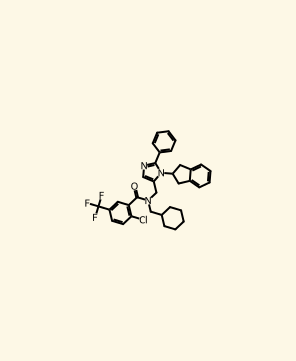 O=C(c1cc(C(F)(F)F)ccc1Cl)N(Cc1cnc(-c2ccccc2)n1C1Cc2ccccc2C1)CC1CCCCC1